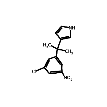 CC(C)(c1cc[nH]c1)c1cc(Cl)cc([N+](=O)[O-])c1